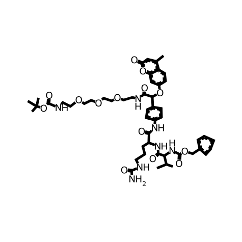 Cc1cc(=O)oc2cc(OC(C(=O)NCCOCCOCCOCCNC(=O)OC(C)(C)C)c3ccc(NC(=O)C(CCCNC(N)=O)NC(=O)C(NC(=O)OCc4ccccc4)C(C)C)cc3)ccc12